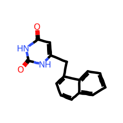 O=c1cc(Cc2cccc3ccccc23)[nH]c(=O)[nH]1